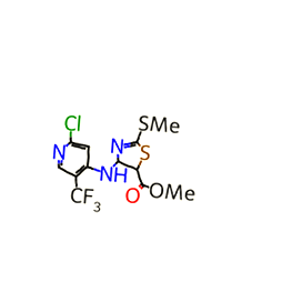 COC(=O)C1SC(SC)=NC1Nc1cc(Cl)ncc1C(F)(F)F